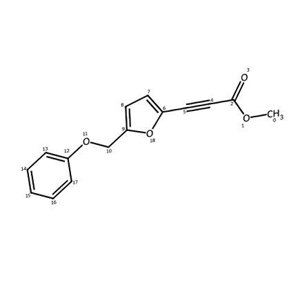 COC(=O)C#Cc1ccc(COc2ccccc2)o1